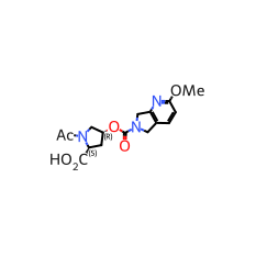 COc1ccc2c(n1)CN(C(=O)O[C@@H]1C[C@@H](C(=O)O)N(C(C)=O)C1)C2